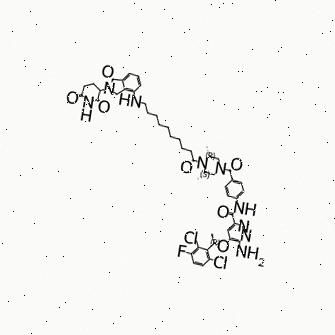 C[C@@H]1CN(C(=O)c2ccc(NC(=O)c3cc(O[C@H](C)c4c(Cl)ccc(F)c4Cl)c(N)nn3)cc2)C[C@H](C)N1C(=O)CCCCCCCCCNc1cccc2c1CN(C1CCC(=O)NC1=O)C2=O